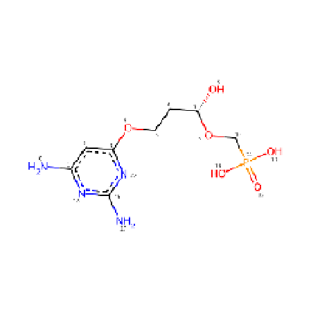 Nc1cc(OCC[C@H](O)OCP(=O)(O)O)nc(N)n1